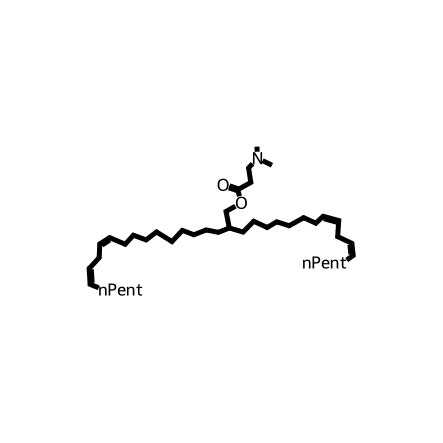 CCCCC/C=C\C/C=C\CCCCCCCCCC(CCCCCCC/C=C\C/C=C\CCCCC)COC(=O)CCN(C)C